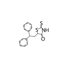 O=C1NC(=S)SC1CC(c1ccccc1)c1ccccc1